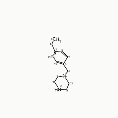 CCc1ccc(CN2CCNCC2)cn1